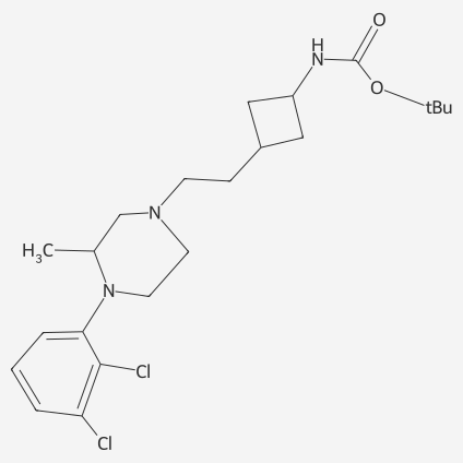 CC1CN(CCC2CC(NC(=O)OC(C)(C)C)C2)CCN1c1cccc(Cl)c1Cl